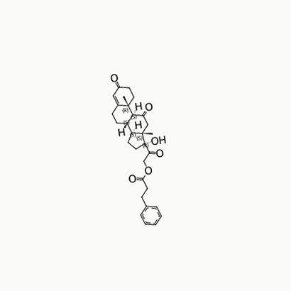 C[C@]12CCC(=O)C=C1CC[C@@H]1[C@@H]2C(=O)C[C@@]2(C)[C@H]1CC[C@]2(O)C(=O)COC(=O)CCc1ccccc1